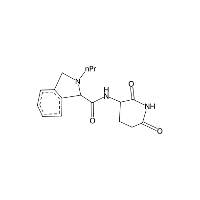 CCCN1Cc2ccccc2C1C(=O)NC1CCC(=O)NC1=O